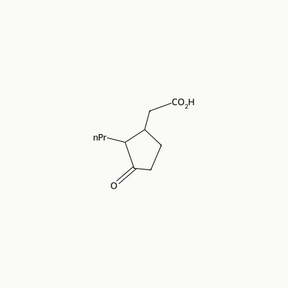 CCCC1C(=O)CCC1CC(=O)O